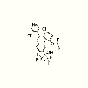 OC(c1ccc(CCc2c(Cl)cncc2Cl)c(-c2ccccc2OC(F)F)c1)(C(F)(F)F)C(F)(F)F